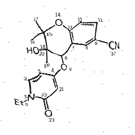 CCn1ccc(OC2c3cc(C#N)ccc3OC(C)(C)C2(C)O)cc1=O